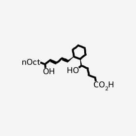 CCCCCCCCC(O)C=CC=C[C@H]1CCCC[C@H]1C(O)CCCC(=O)O